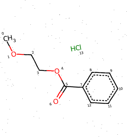 COCCOC(=O)c1ccccc1.Cl